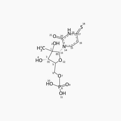 CC1(O)[C@@H](O)C(COP(=O)(O)O)O[C@H]1n1ccc(=S)[nH]c1=O